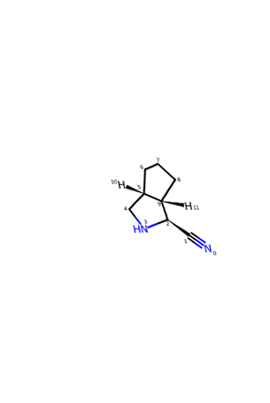 N#C[C@H]1NC[C@@H]2CCC[C@@H]21